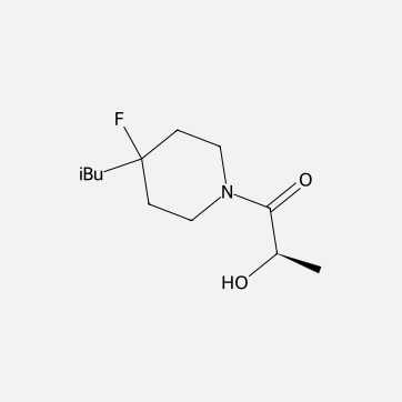 CCC(C)C1(F)CCN(C(=O)[C@@H](C)O)CC1